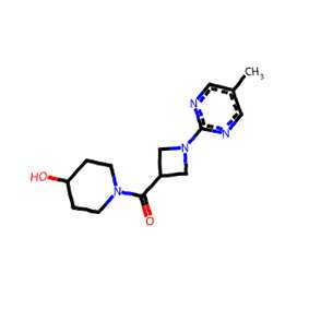 Cc1cnc(N2CC(C(=O)N3CCC(O)CC3)C2)nc1